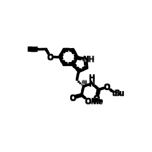 C#CCOc1ccc2[nH]cc(C[C@H](NC(=O)OC(C)(C)C)C(=O)OC)c2c1